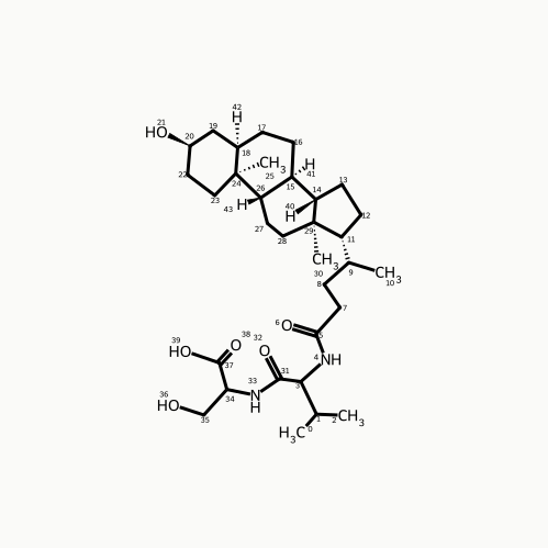 CC(C)C(NC(=O)CCC(C)[C@H]1CC[C@H]2[C@@H]3CC[C@@H]4C[C@H](O)CC[C@]4(C)[C@H]3CC[C@]12C)C(=O)NC(CO)C(=O)O